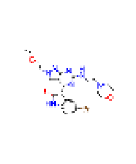 CCOCCn1cc2c(C3C(=O)Nc4ccc(Br)cc43)nc(NCCN3CCOCC3)nc2n1